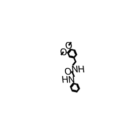 COc1ccc(CCNC(=O)CNc2ccccc2)cc1OC